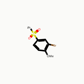 COc1ccc(S(=O)(=O)C(C)C)cc1Br